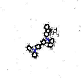 CC1(C)c2ccccc2-c2ccc(N(c3ccc(-c4ccc(N(c5ccccc5)c5ccccc5)cc4)cc3)c3cccc4ccccc34)cc21